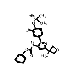 CC1(c2cc(NC(=O)Oc3ccccc3)n(-c3ccc(O[Si](C)(C)C(C)(C)C)c(Cl)c3)n2)COC1